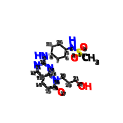 CS(=O)(=O)N[C@H]1CC[C@H](Nc2ncc3ccc(=O)n(CCCO)c3n2)CC1